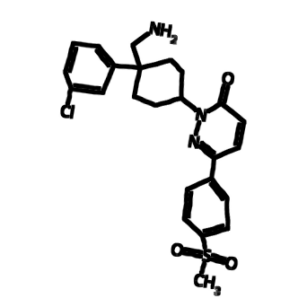 CS(=O)(=O)c1ccc(-c2ccc(=O)n(C3CCC(CN)(c4cccc(Cl)c4)CC3)n2)cc1